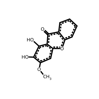 COc1cc2oc3ccccc3c(=O)c2c(O)c1O